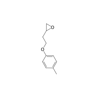 Cc1ccc(OCCC2CO2)cc1